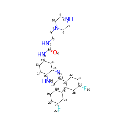 O=C(NCCN1CCNCC1)NC1CCC2NC(C3CCC(F)CC3)C(C3CCC(F)CC3)=NC2C1